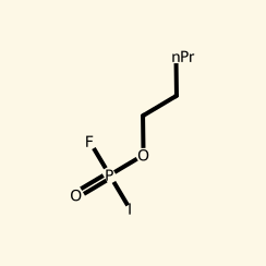 CCCCCOP(=O)(F)I